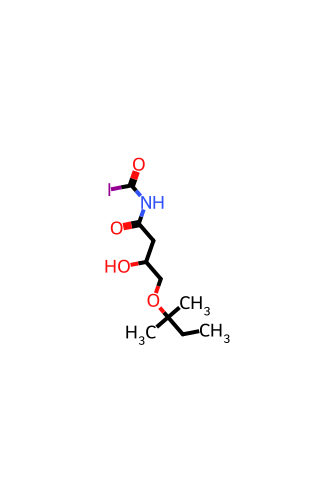 CCC(C)(C)OCC(O)CC(=O)NC(=O)I